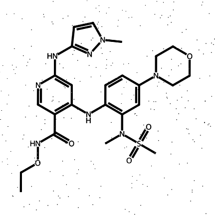 CCONC(=O)c1cnc(Nc2ccn(C)n2)cc1Nc1ccc(N2CCOCC2)cc1N(C)S(C)(=O)=O